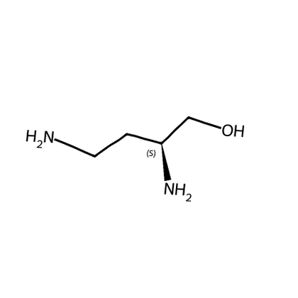 NCC[C@H](N)CO